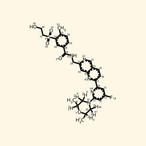 [2H]C1(C)OC([2H])(C)C([2H])([2H])N(c2cc(F)cc(-c3ccc4cnc(CNC(=O)c5ccc(C)c(S(=O)(=O)CCO)c5)cc4n3)n2)C1([2H])[2H]